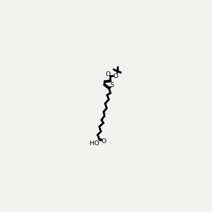 CC(C)(C)OC(=O)c1ccc(CCCCCCCCCCCCC(=O)O)s1